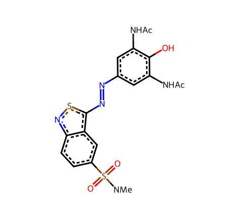 CNS(=O)(=O)c1ccc2nsc(/N=N/c3cc(NC(C)=O)c(O)c(NC(C)=O)c3)c2c1